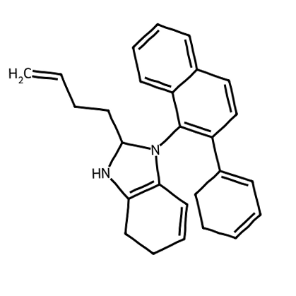 C=CCCC1NC2=C(C=CCC2)N1c1c(C2=CC=CCC2)ccc2ccccc12